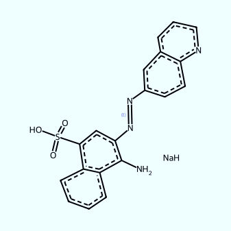 Nc1c(/N=N/c2ccc3ncccc3c2)cc(S(=O)(=O)O)c2ccccc12.[NaH]